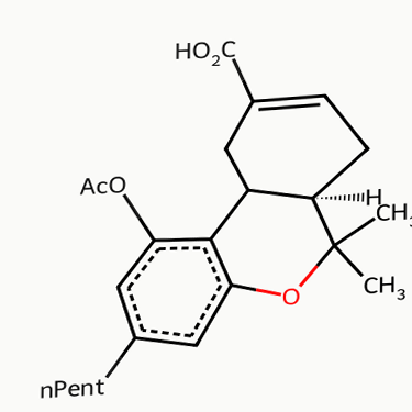 CCCCCc1cc(OC(C)=O)c2c(c1)OC(C)(C)[C@@H]1CC=C(C(=O)O)CC21